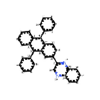 c1ccc(-c2c3ccccc3c(-c3ccccc3)c3cc(-c4cnc5ccccc5n4)ccc23)cc1